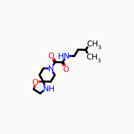 CC(C)CCNC(=O)C(=O)N1CCC2(CC1)NCCO2